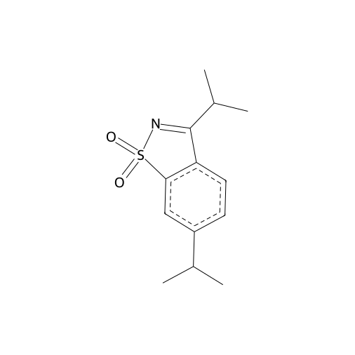 CC(C)C1=NS(=O)(=O)c2cc(C(C)C)ccc21